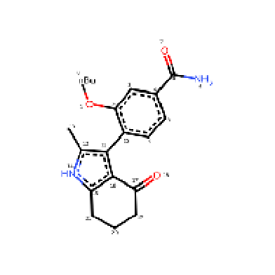 CCCCOc1cc(C(N)=O)ccc1-c1c(C)[nH]c2c1C(=O)CCC2